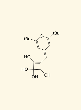 CC(C)(C)C1=CC(=CC2=C(O)C(O)(O)C2O)C=C(C(C)(C)C)S1